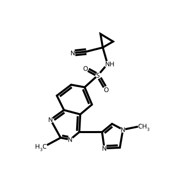 Cc1nc(-c2cn(C)cn2)c2cc(S(=O)(=O)NC3(C#N)CC3)ccc2n1